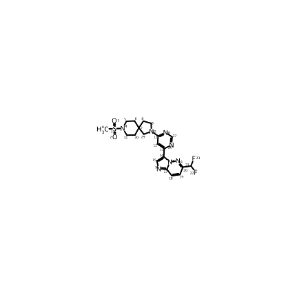 CS(=O)(=O)N1CCC2(CCN(c3cc(-c4cnc5ccc(C(F)F)nn45)ncn3)C2)CC1